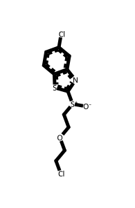 [O-][S+](CCOCCCl)c1nc2cc(Cl)ccc2s1